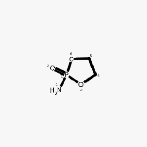 NP1(=O)OCCO1